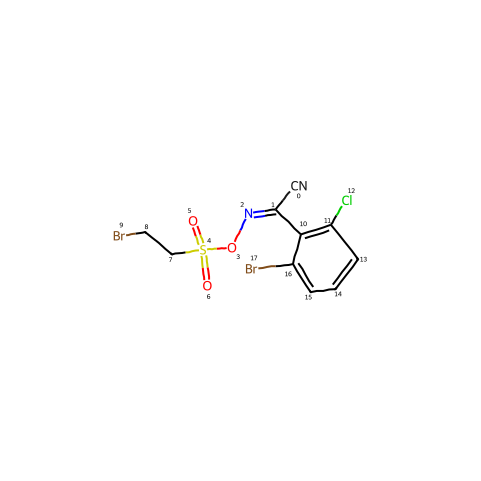 N#C/C(=N/OS(=O)(=O)CCBr)c1c(Cl)cccc1Br